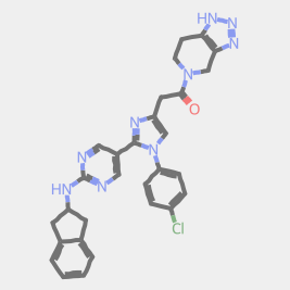 O=C(Cc1cn(-c2ccc(Cl)cc2)c(-c2cnc(NC3Cc4ccccc4C3)nc2)n1)N1CCc2[nH]nnc2C1